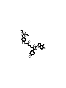 CCOP(=O)(Cc1ccc(NC(=O)CCCc2oc(-n3cnc4c(C)c(C)ccc43)nc2-c2ccc(Cl)cc2)cc1)OCC